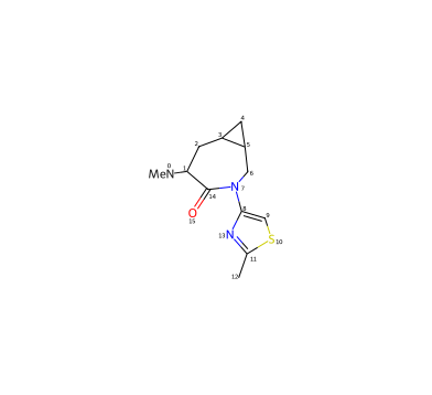 CNC1CC2CC2CN(c2csc(C)n2)C1=O